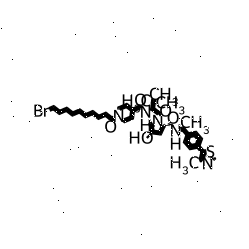 Cc1ncsc1-c1ccc([C@H](C)NC(=O)[C@@H]2C[C@@H](O)CN2C(=O)[C@@H](NC(=O)C2CCN(C(=O)CCCCCCCCCBr)CC2)C(C)(C)C)cc1